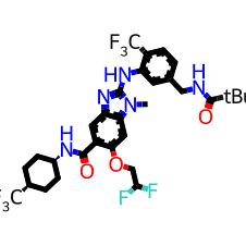 Cn1c(Nc2cc(CNC(=O)C(C)(C)C)ccc2C(F)(F)F)nc2cc(C(=O)N[C@H]3CC[C@H](C(F)(F)F)CC3)c(OCC(F)F)cc21